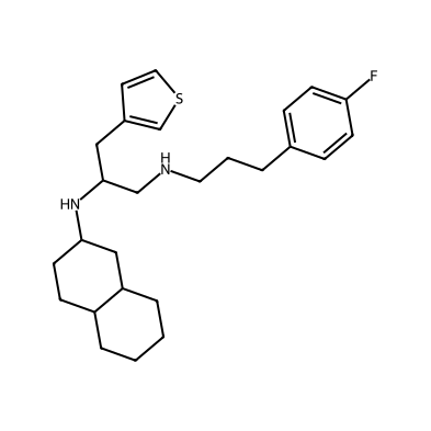 Fc1ccc(CCCNCC(Cc2ccsc2)NC2CCC3CCCCC3C2)cc1